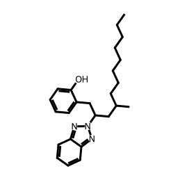 CCCCCCCCC(C)CC(Cc1ccccc1O)n1nc2ccccc2n1